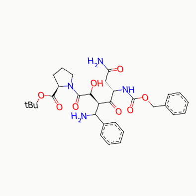 CC(C)(C)OC(=O)[C@H]1CCCN1C(=O)C(O)[C@@H](C(=O)[C@H](CC(N)=O)NC(=O)OCc1ccccc1)C(N)c1ccccc1